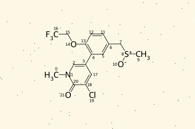 Cn1cc(-c2cc(C[S+](C)[O-])ccc2OCC(F)(F)F)cc(Cl)c1=O